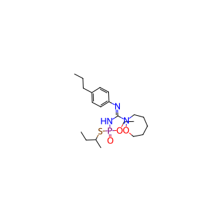 CCCc1ccc(N=C(NP(=O)(OCC)SC(C)CC)N2CCCCCO2)cc1